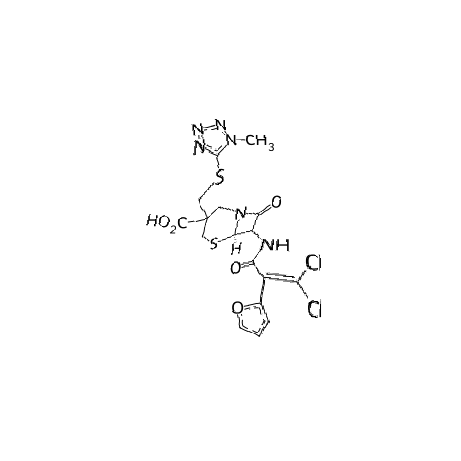 Cn1nnnc1SCC1(C(=O)O)CS[C@@H]2C(NC(=O)C(=C(Cl)Cl)c3ccco3)C(=O)N2C1